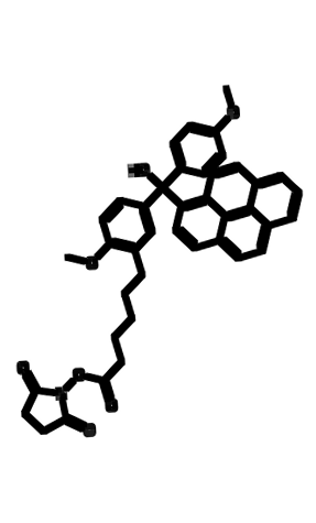 COc1ccc(C(O)(c2ccc(OC)c(CCCCCC(=O)ON3C(=O)CCC3=O)c2)c2ccc3ccc4cccc5ccc2c3c45)cc1